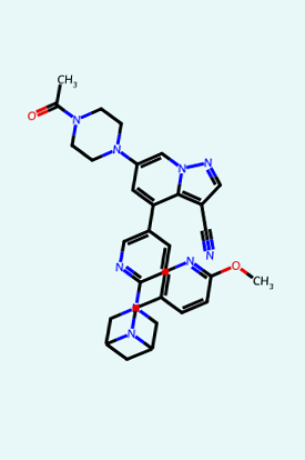 COc1ccc(CN2C3CC2CN(c2ccc(-c4cc(N5CCN(C(C)=O)CC5)cn5ncc(C#N)c45)cn2)C3)cn1